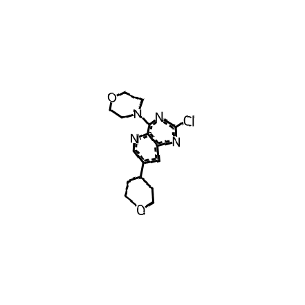 Clc1nc(N2CCOCC2)c2ncc(C3CCOCC3)cc2n1